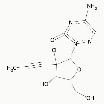 CC#CC1(Cl)[C@@H](O)[C@@H](CO)O[C@H]1n1ncc(N)nc1=O